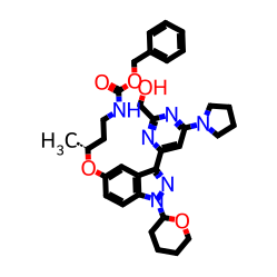 C[C@H](CCNC(=O)OCc1ccccc1)Oc1ccc2c(c1)c(-c1cc(N3CCCC3)nc(CO)n1)nn2C1CCCCO1